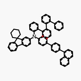 c1ccc(-c2ccccc2-c2ccccc2-c2ccccc2N(c2ccc(-c3ccc(-c4cccc5ccccc45)cc3)cc2)c2ccc3c(c2)C2(CCCCC2)c2ccccc2-3)cc1